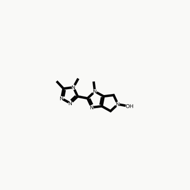 Cc1nnc(-c2nc3c(n2C)CN(O)C3)n1C